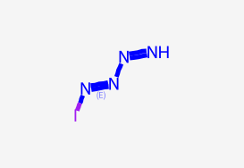 N=N/N=N/I